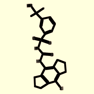 CC(C)(O)c1cccc(S(=O)(=O)NC(=O)Nc2c3c(c(Cl)c4c2CCC4)CCC3)c1